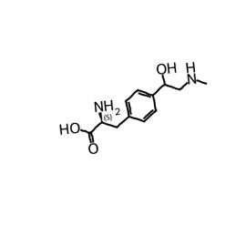 CNCC(O)c1ccc(C[C@H](N)C(=O)O)cc1